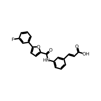 O=C(O)/C=C/c1cccc(NC(=O)c2ccc(-c3cccc(F)c3)o2)c1